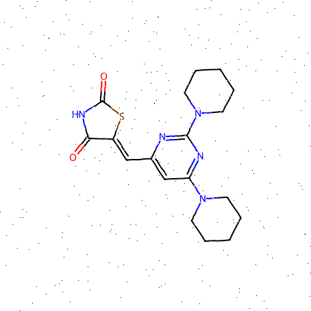 O=C1NC(=O)C(=Cc2cc(N3CCCCC3)nc(N3CCCCC3)n2)S1